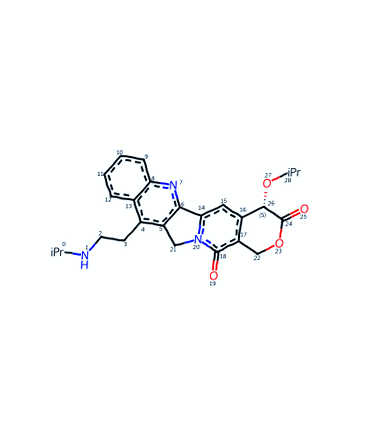 CC(C)NCCc1c2c(nc3ccccc13)-c1cc3c(c(=O)n1C2)COC(=O)[C@H]3OC(C)C